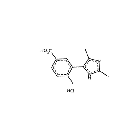 Cc1nc(C)c(-c2cc(C(=O)O)ccc2C)[nH]1.Cl